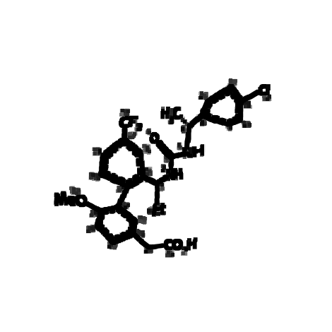 CCC(NC(=O)N[C@H](C)c1ccc(Cl)cc1)c1cc(C(F)(F)F)ccc1-c1cc(CC(=O)O)ccc1OC